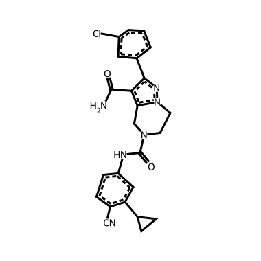 N#Cc1ccc(NC(=O)N2CCn3nc(-c4cccc(Cl)c4)c(C(N)=O)c3C2)cc1C1CC1